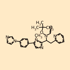 Cn1c(-c2ccc(-n3ccnc3)cc2)cnc1C(Cc1ccccn1)N(C=O)OC(C)(C)C